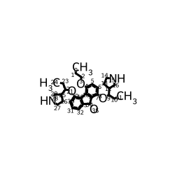 CCCOc1ccc(OC(CC)C2CCNC2)c2c1-c1c(OC(CC)C3CCNC3)cccc1C2=O